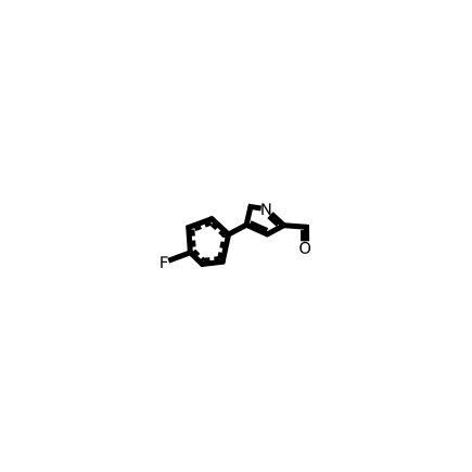 O=CC1=NCC(c2ccc(F)cc2)=C1